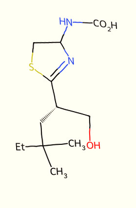 CCC(C)(C)C[C@@H](CO)C1=NC(NC(=O)O)CS1